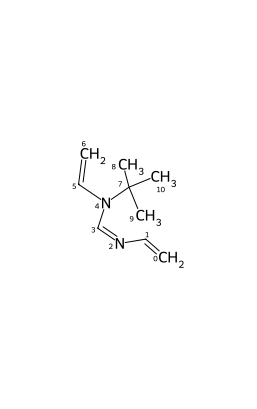 C=C/N=C\N(C=C)C(C)(C)C